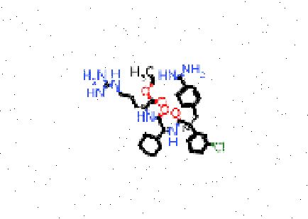 CCOC(=O)[C@H](CCCNC(=N)N)NC(=O)[C@@H](NC(=O)[C@@H](Cc1ccc(C(=N)N)cc1)c1cccc(Cl)c1)C1CCCCC1